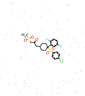 CS(=O)(=O)CC(=O)CC1CCC(c2cc(F)ccc2F)(S(=O)(=O)c2ccc(Cl)cc2)CC1